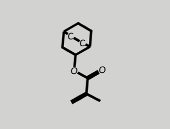 C=C(C)C(=O)OC1CC2CCC1CC2